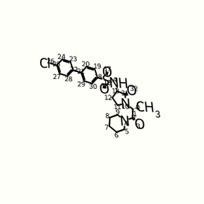 C[C@H](C(=O)N1CCCCC1)N1CC[C@@H](NS(=O)(=O)c2ccc(-c3ccc(Cl)cc3)cc2)C1=O